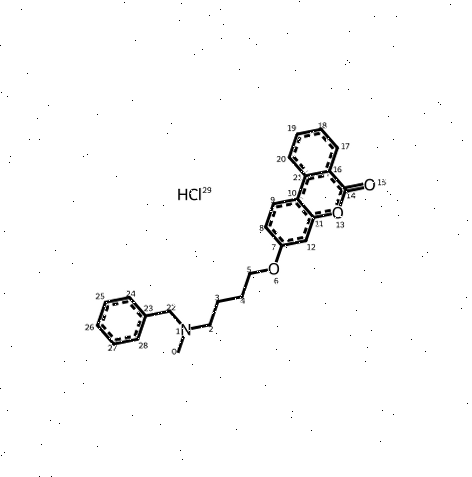 CN(CCCCOc1ccc2c(c1)oc(=O)c1ccccc12)Cc1ccccc1.Cl